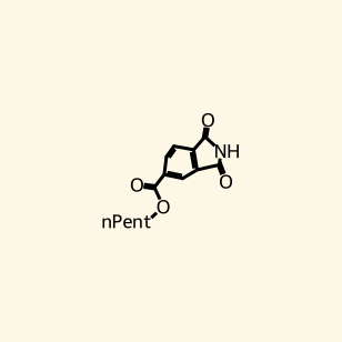 CCCCCOC(=O)c1ccc2c(c1)C(=O)NC2=O